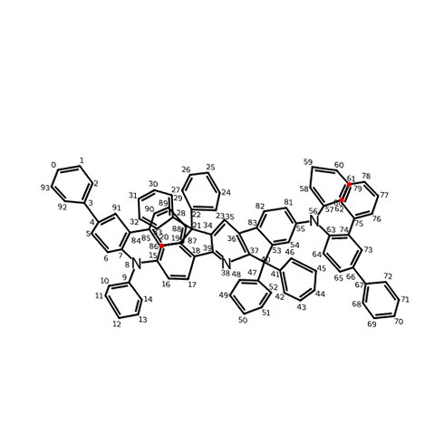 c1ccc(-c2ccc(N(c3ccccc3)c3ccc4c(c3)C(c3ccccc3)(c3ccccc3)c3cc5c(nc3-4)C(c3ccccc3)(c3ccccc3)c3cc(N(c4ccccc4)c4ccc(-c6ccccc6)cc4-c4ccccc4)ccc3-5)c(-c3ccccc3)c2)cc1